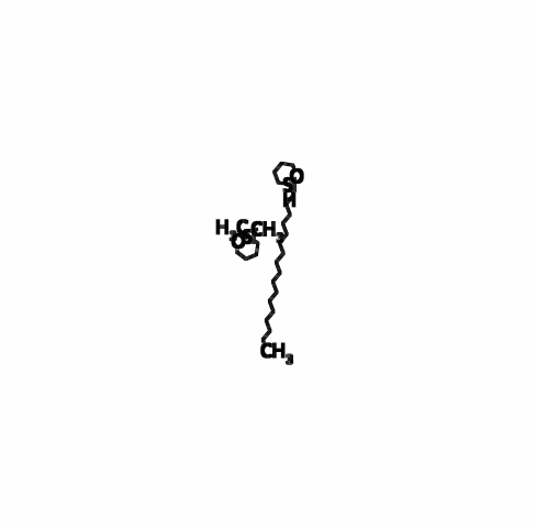 CCCCCCCCCCCCCCCCC[SiH]1CCCCO1.C[Si]1(C)CCCCO1